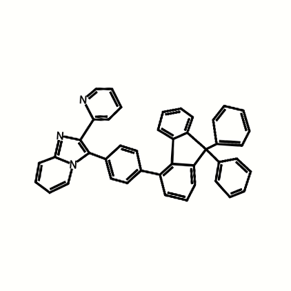 c1ccc(C2(c3ccccc3)c3ccccc3-c3c(-c4ccc(-c5c(-c6ccccn6)nc6ccccn56)cc4)cccc32)cc1